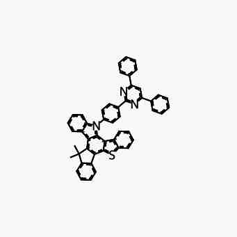 CC1(C)c2ccccc2-c2c1c1c3ccccc3n(-c3ccc(-c4nc(-c5ccccc5)cc(-c5ccccc5)n4)cc3)c1c1c2sc2ccccc21